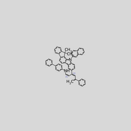 C=C(/C=C(\C=C/Nc1ccc(-c2ccccc2)cc1)c1ccc2c(c1)c1ccc3c(c1n2-c1ccc2ccccc2c1)C(C)(C)c1ccccc1-3)c1ccccc1